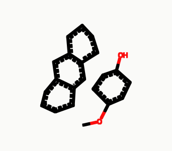 COc1ccc(O)cc1.c1ccc2cc3ccccc3cc2c1